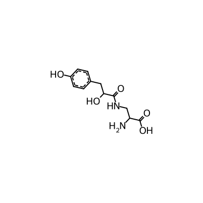 NC(CNC(=O)C(O)Cc1ccc(O)cc1)C(=O)O